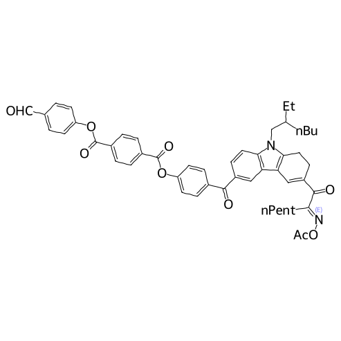 CCCCC/C(=N\OC(C)=O)C(=O)C1=Cc2c(n(CC(CC)CCCC)c3ccc(C(=O)c4ccc(OC(=O)c5ccc(C(=O)Oc6ccc(C=O)cc6)cc5)cc4)cc23)CC1